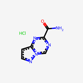 Cl.NC(=O)c1ncn2nccc2n1